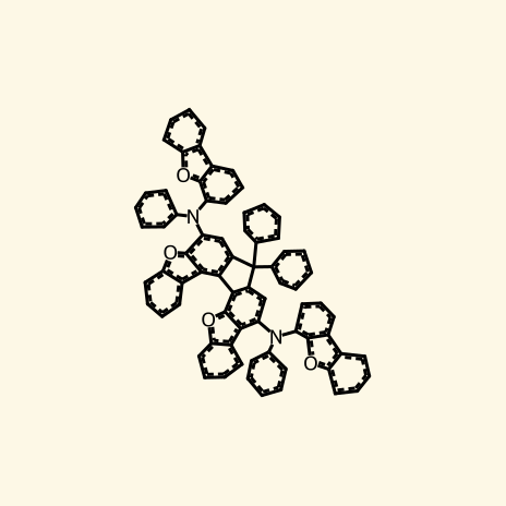 c1ccc(N(c2cccc3c2oc2ccccc23)c2cc3c(c4c2oc2ccccc24)-c2c(cc(N(c4ccccc4)c4cccc5c4oc4ccccc45)c4c2oc2ccccc24)C3(c2ccccc2)c2ccccc2)cc1